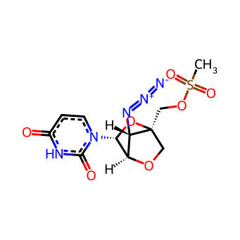 CS(=O)(=O)OC[C@@]12CO[C@@H]([C@H](n3ccc(=O)[nH]c3=O)O1)[C@@H]2N=[N+]=[N-]